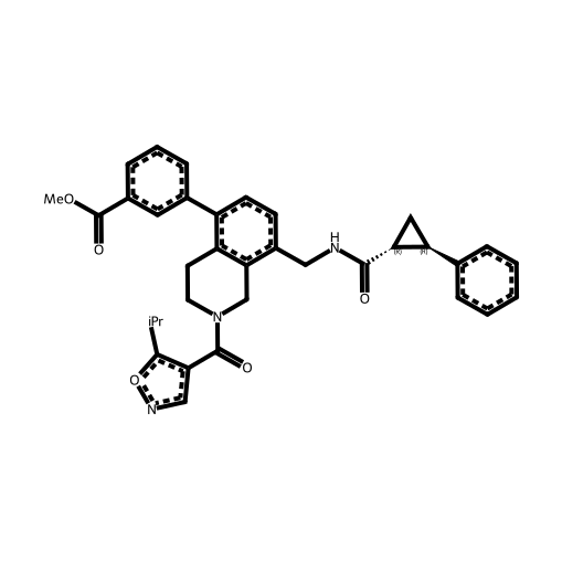 COC(=O)c1cccc(-c2ccc(CNC(=O)[C@@H]3C[C@H]3c3ccccc3)c3c2CCN(C(=O)c2cnoc2C(C)C)C3)c1